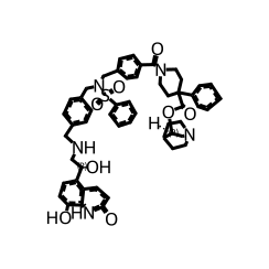 O=C(c1ccc(CN(Cc2ccc(CNC[C@H](O)c3ccc(O)c4[nH]c(=O)ccc34)cc2)S(=O)(=O)c2ccccc2)cc1)N1CCC(C(=O)O[C@H]2CN3CCC2CC3)(c2ccccc2)CC1